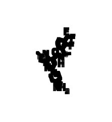 C[C@@H]1CN2N=C(N3CCC(C)(N)CC3)C=C(C(=O)N[C@H](C)c3cccc(C(F)F)c3F)C2=N1